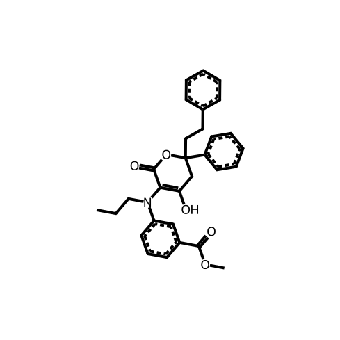 CCCN(C1=C(O)CC(CCc2ccccc2)(c2ccccc2)OC1=O)c1cccc(C(=O)OC)c1